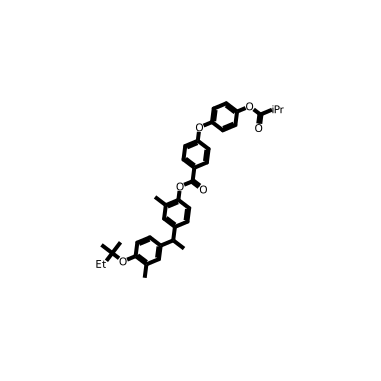 CCC(C)(C)Oc1ccc(C(C)c2ccc(OC(=O)c3ccc(Oc4ccc(OC(=O)C(C)C)cc4)cc3)c(C)c2)cc1C